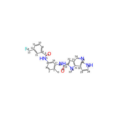 Cc1ccc(NC(=O)c2cccc(CF)c2)cc1NC(=O)c1cc2cnc3[nH]ccc3c2n1C